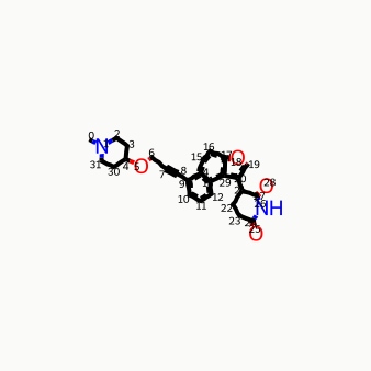 CN1CCC(OCC#Cc2cccc3c2ccc2occ(C4CCC(=O)NC4=O)c23)CC1